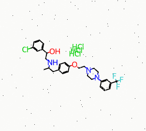 CC(Cc1ccc(OCCN2CCN(c3cccc(C(F)(F)F)c3)CC2)cc1)NCC(O)c1cccc(Cl)c1.Cl.Cl.Cl